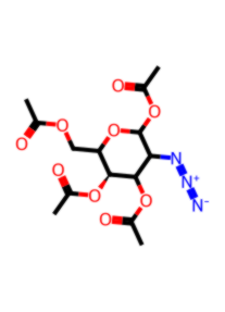 CC(=O)OCC1OC(OC(C)=O)C(N=[N+]=[N-])C(OC(C)=O)[C@H]1OC(C)=O